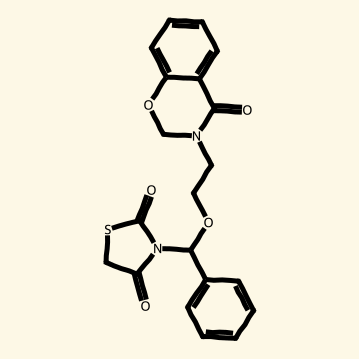 O=C1c2ccccc2OCN1CCOC(c1ccccc1)N1C(=O)CSC1=O